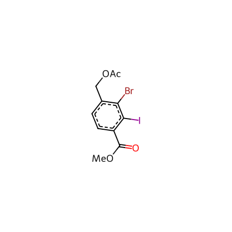 COC(=O)c1ccc(COC(C)=O)c(Br)c1I